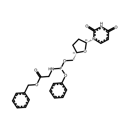 O=C(CNP(OC[C@@H]1CC[C@H](n2ccc(=O)[nH]c2=O)O1)Oc1ccccc1)OCc1ccccc1